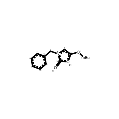 CCCCOc1cn(Cc2ccccc2)c(=O)o1